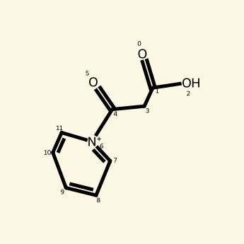 O=C(O)CC(=O)[n+]1ccccc1